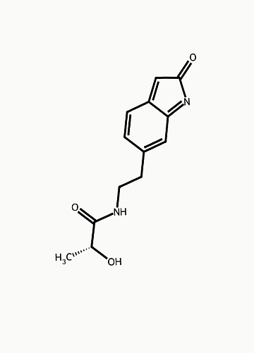 C[C@@H](O)C(=O)NCCc1ccc2c(c1)=NC(=O)C=2